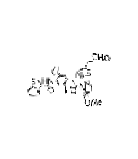 COC[C@@H]1CC[C@@H](c2ncc(CCC=O)s2)N1C(=O)Cc1cc(Cl)c(NC(=O)c2csc3ccccc23)cc1F